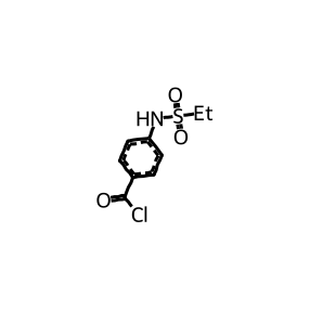 CCS(=O)(=O)Nc1ccc(C(=O)Cl)cc1